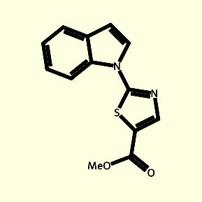 COC(=O)c1cnc(-n2ccc3ccccc32)s1